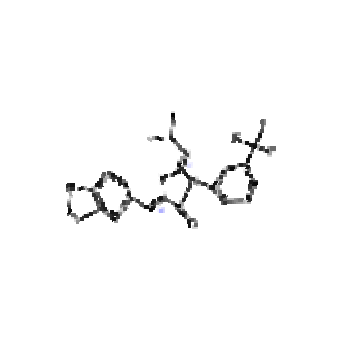 CC(C)/N=C1\S/C(=C\c2ccc3c(c2)CCO3)C(=O)N1c1cccc(C(F)(F)F)c1